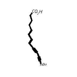 CCCCC#CC#CCCCCCCCC(=O)O